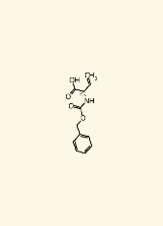 C=C[C@H](NC(=O)OCc1ccccc1)C(=O)O